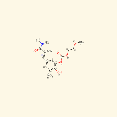 CCN(CC)C(=O)/C(C#N)=C/c1cc(OC(=O)OCCOC(C)(C)C)c(O)c([N+](=O)[O-])c1